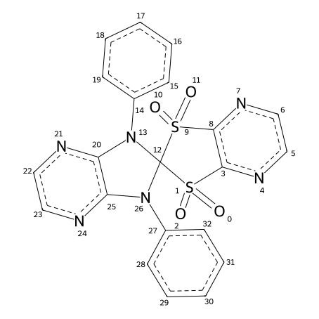 O=S1(=O)c2nccnc2S(=O)(=O)C12N(c1ccccc1)c1nccnc1N2c1ccccc1